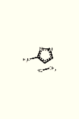 CO.Nc1cc[nH]n1